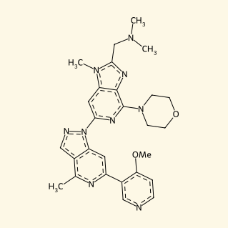 COc1ccncc1-c1cc2c(cnn2-c2cc3c(nc(CN(C)C)n3C)c(N3CCOCC3)n2)c(C)n1